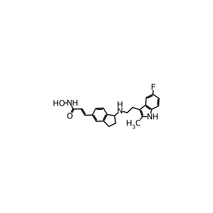 Cc1[nH]c2ccc(F)cc2c1CCNC1CCc2cc(C=CC(=O)NO)ccc21